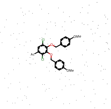 COc1ccc(COc2c(Cl)cc(C(C)=O)c(Cl)c2OCc2ccc(OC)cc2)cc1